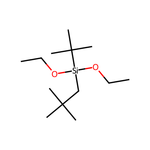 CCO[Si](CC(C)(C)C)(OCC)C(C)(C)C